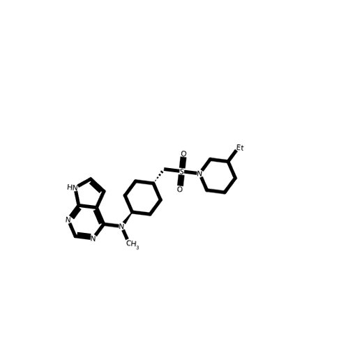 CCC1CCCN(S(=O)(=O)C[C@H]2CC[C@H](N(C)c3ncnc4[nH]ccc34)CC2)C1